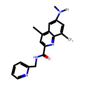 CCN(C)c1cc(C(F)(F)F)c2nc(C(=O)NCc3ccccn3)cc(C)c2c1